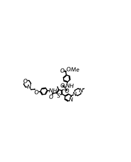 COC(=O)c1ccc(NS(=O)(=O)c2c(-c3ccnc(N4CCN(C)CC4)c3)sc(C(=O)Nc3ccc(OCCN4CCOCC4)cc3)c2C)cc1